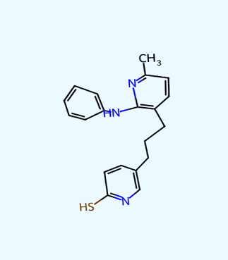 Cc1ccc(CCCc2ccc(S)nc2)c(Nc2ccccc2)n1